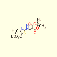 CCOC(=O)c1sc(NC=C2C(=O)OC(C)(C)OC2=O)nc1C